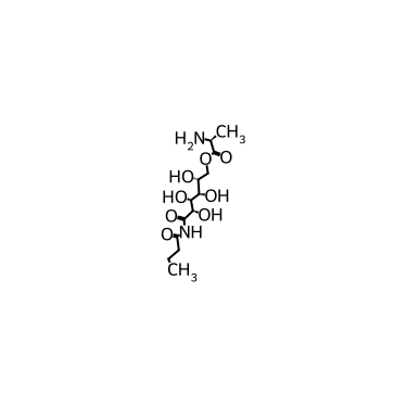 CCCC(=O)NC(=O)[C@H](O)[C@@H](O)[C@H](O)[C@H](O)COC(=O)[C@H](C)N